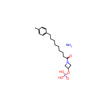 Cc1ccc(CCCCCCCCC(=O)N2CC(OP(=O)(O)O)C2)cc1.N